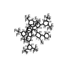 N#Cc1cc(-n2c3cc(-c4cc(C(F)(F)F)cc(C(F)(F)F)c4)ccc3c3ccc(-c4cc(C(F)(F)F)cc(C(F)(F)F)c4)cc32)c(-n2c3cc(-c4cc(C(F)(F)F)cc(C(F)(F)F)c4)ccc3c3ccc(-c4cc(C(F)(F)F)cc(C(F)(F)F)c4)cc32)cc1-c1ccncc1